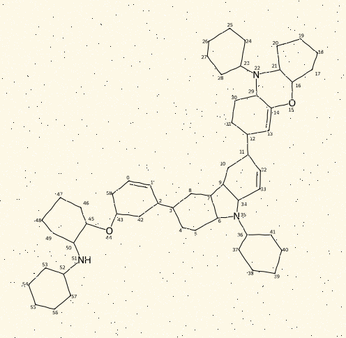 C1=CC(C2CCC3C(C2)C2CC(C4C=C5OC6CCCCC6N(C6CCCCC6)C5CC4)C=CC2N3C2CCCCC2)CC(OC2CCCCC2NC2CCCCC2)C1